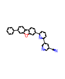 N#Cc1cncc(-c2cccc(-c3ccc4c(c3)oc3cc(-c5ccccc5)ccc34)n2)c1